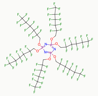 FC(F)(F)C(F)(F)C(F)(F)C(F)(F)C(F)(F)COP1(OCC(F)(F)C(F)(F)C(F)(F)C(F)(F)C(F)(F)F)=NP(OCC(F)(F)C(F)(F)C(F)(F)C(F)(F)C(F)(F)F)(OCC(F)(F)C(F)(F)C(F)(F)C(F)(F)C(F)(F)F)=NP(OCC(F)(F)C(F)(F)C(F)(F)C(F)(F)C(F)(F)F)(OCC(F)(F)C(F)(F)C(F)(F)C(F)(F)C(F)(F)F)=N1